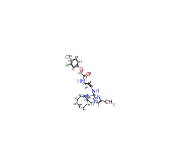 Cc1cn2c(n1)C(NC13CC(NC(=O)COc4ccc(Cl)c(F)c4)(C1)C3)NC1(CCCCCCC1)C2